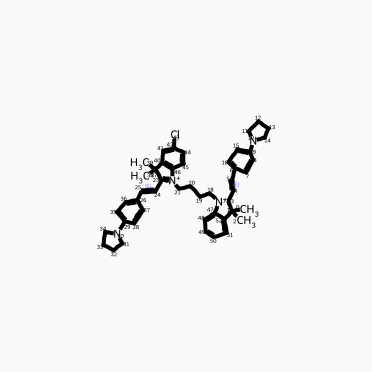 CC1(C)C(/C=C/c2ccc(N3CCCC3)cc2)=[N+](CCCC[N+]2=C(/C=C/c3ccc(N4CCCC4)cc3)C(C)(C)c3cc(Cl)ccc32)c2ccccc21